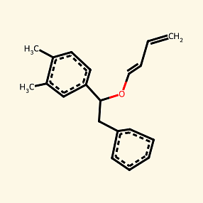 C=CC=COC(Cc1ccccc1)c1ccc(C)c(C)c1